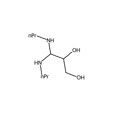 CCCNC(NCCC)C(O)CO